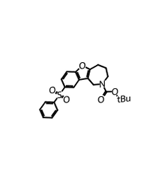 CC(C)(C)OC(=O)N1CCCc2oc3ccc(S(=O)(=O)c4ccccc4)cc3c2C1